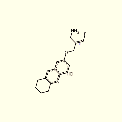 Cl.NC/C(=C\F)COc1ccc2nc3c(cc2c1)CCCC3